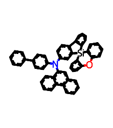 c1ccc(-c2ccc(N(c3ccc4c(c3)[Si]3(c5ccccc5Oc5ccccc53)c3ccccc3-4)c3cc4ccccc4c4ccccc34)cc2)cc1